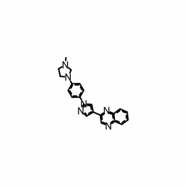 CN1CCN(c2ccc(-n3cc(-c4cnc5ccccc5n4)cn3)cc2)C1